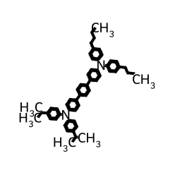 CCCCc1ccc(N(c2ccc(CCCC)cc2)c2ccc(-c3ccc(-c4ccc(N(c5ccc(C(C)C)cc5)c5ccc(C(C)C)cc5)cc4)cc3)cc2)cc1